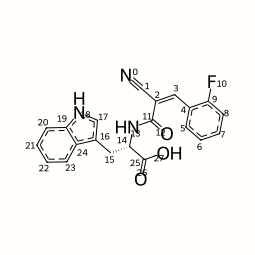 N#C/C(=C/c1ccccc1F)C(=O)N[C@@H](Cc1c[nH]c2ccccc12)C(=O)O